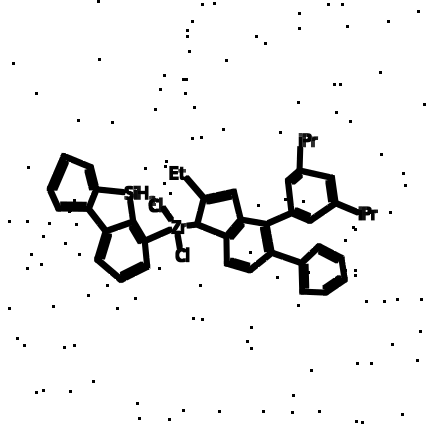 CCC1=Cc2c(ccc(-c3ccccc3)c2-c2cc(C(C)C)cc(C(C)C)c2)[CH]1[Zr]([Cl])([Cl])[c]1cccc2c1[SiH2]c1ccccc1-2